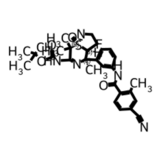 Cc1cc(C#N)ccc1C(=O)Nc1ccc(F)c([C@@]2(C)N=C(NC(=O)OC(C)(C)C)C(C)(C)[S@@]3(=O)=NCC[C@@H]23)c1